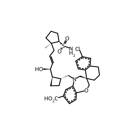 C[C@]1(C/C=C/[C@H](O)[C@@H]2CC[C@H]2CN2C[C@@]3(CCCc4cc(Cl)ccc43)COc3ccc(C(=O)O)cc32)CCC[C@H]1S(N)(=O)=O